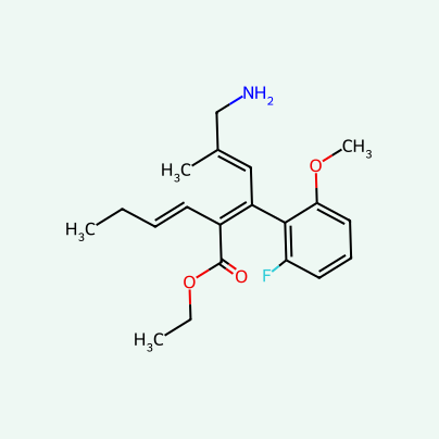 CC/C=C/C(C(=O)OCC)=C(\C=C(/C)CN)c1c(F)cccc1OC